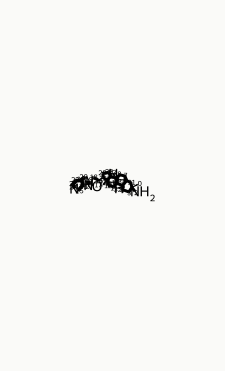 C[C@@]1(N)CC[C@H]2C(CC[C@@H]3[C@@H]2CC[C@]2(C)[C@@H](C(=O)Cn4cc5ccncc5n4)CC[C@@H]32)C1